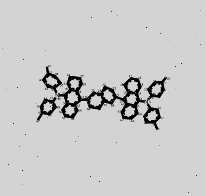 Cc1ccc(N(c2ccc(C)cc2)c2c3ccccc3c(-c3ccc4cc(-c5c6ccccc6c(N(c6ccc(C)cc6)c6ccc(C)cc6)c6ccccc56)ccc4c3)c3ccccc23)cc1